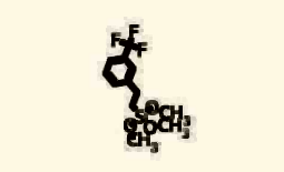 CO[Si](CCc1cccc(C(F)(F)F)c1)(OC)OC